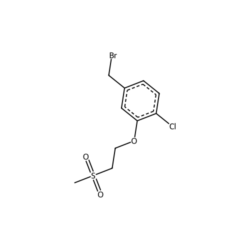 CS(=O)(=O)CCOc1cc(CBr)ccc1Cl